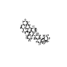 C1=Cc2ccc3ccc(-c4c5ccccc5c(-c5ccc6c(ccc7oc8ccccc8c76)c5)c5ccccc45)c4c3c2C(C=C4)C1